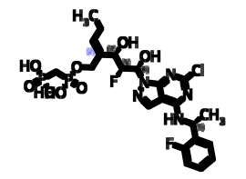 CC/C=C(/COP(=O)(O)CP(=O)(O)O)[C@@H](O)[C@H](F)[C@@H](O)n1ncc2c(N[C@@H](C)c3ccccc3F)nc(Cl)nc21